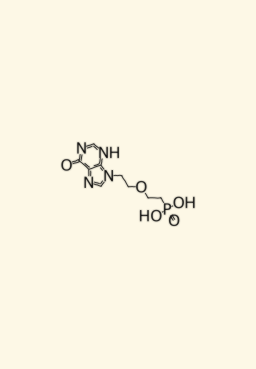 O=c1nc[nH]c2c1ncn2CCOCCP(=O)(O)O